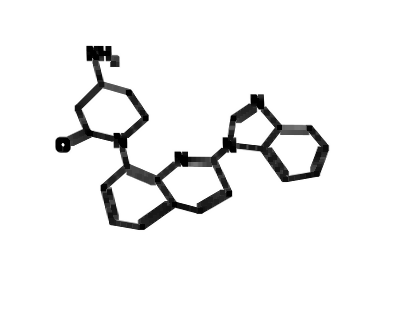 NC1CCN(c2cccc3ccc(-n4cnc5ccccc54)nc23)C(=O)C1